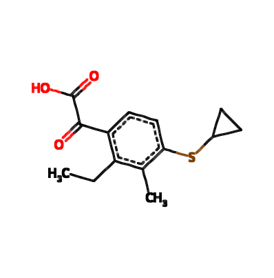 CCc1c(C(=O)C(=O)O)ccc(SC2CC2)c1C